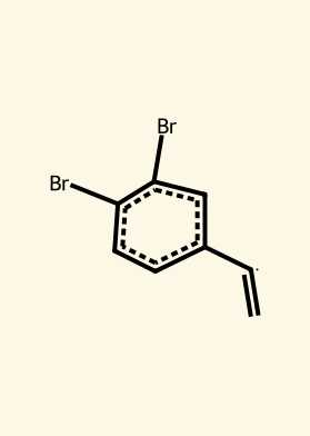 C=[C]c1ccc(Br)c(Br)c1